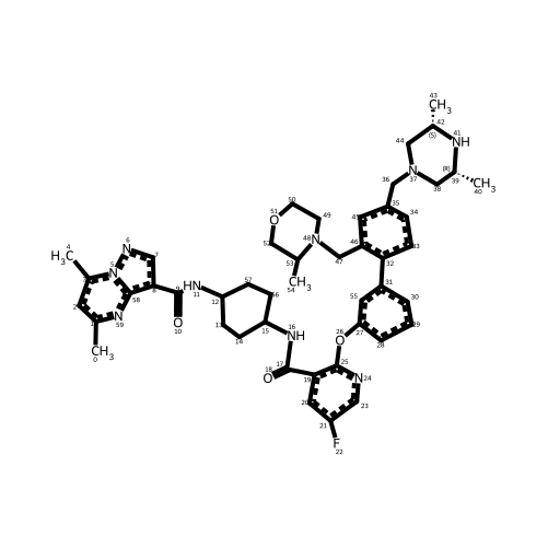 Cc1cc(C)n2ncc(C(=O)NC3CCC(NC(=O)c4cc(F)cnc4Oc4cccc(-c5ccc(CN6C[C@@H](C)N[C@@H](C)C6)cc5CN5CCOCC5C)c4)CC3)c2n1